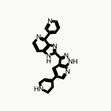 C1=C(c2cnc3[nH]nc(-c4nc5c(-c6cccnc6)nccc5[nH]4)c3c2)CCNC1